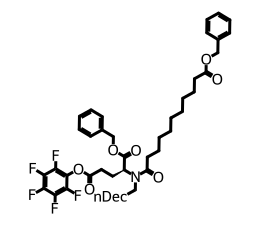 CCCCCCCCCCCN(C(=O)CCCCCCCCCC(=O)OCc1ccccc1)[C@@H](CCC(=O)Oc1c(F)c(F)c(F)c(F)c1F)C(=O)OCc1ccccc1